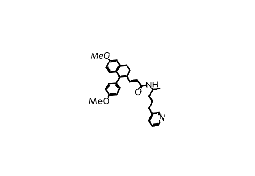 COc1ccc(C2=C(/C=C/C(=O)NC(C)CCCc3cccnc3)CCc3cc(OC)ccc32)cc1